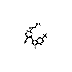 N#Cc1cnc(NCN)nc1-c1c[nH]c2ncc(C(F)(F)F)cc12